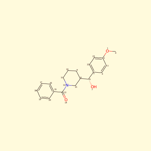 COc1ccc([C@H](O)C2CCCN(C(=O)c3ccccc3)C2)cc1